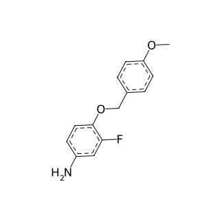 COc1ccc(COc2ccc(N)cc2F)cc1